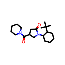 CC(C)(C)C1CCCCC1N1CC(C(=O)N2CCCCC2)CC1=O